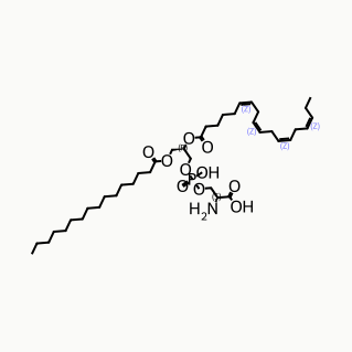 CC/C=C\C/C=C\C/C=C\C/C=C\CCCCC(=O)O[C@H](COC(=O)CCCCCCCCCCCCCCC)COP(=O)(O)OC[C@H](N)C(=O)O